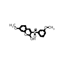 COc1cccc(S(=O)(=O)C2=Cc3ccc(OC)cc3OC2O)c1